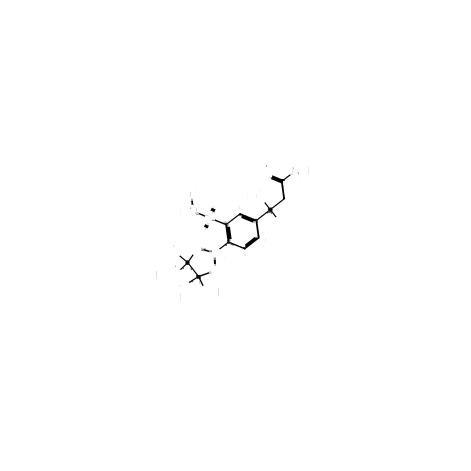 CC(C)(C)NS(=O)(=O)c1cc(C(C)(C)CC(N)=O)ccc1B1OC(C)(C)C(C)(C)O1